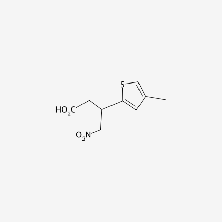 Cc1csc(C(CC(=O)O)C[N+](=O)[O-])c1